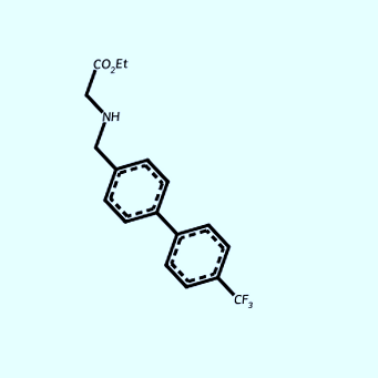 CCOC(=O)CNCc1ccc(-c2ccc(C(F)(F)F)cc2)cc1